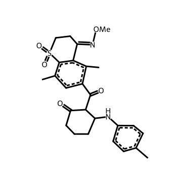 CON=C1CCS(=O)(=O)c2c(C)cc(C(=O)C3C(=O)CCCC3Nc3ccc(C)cc3)c(C)c21